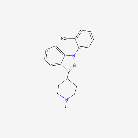 CN1CCC(c2nn(-c3ccccc3C#N)c3ccccc23)CC1